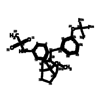 COC1(c2cccc(NS(C)(=O)=O)c2)C2CCC1CN(Cc1cccc(OC(F)(F)F)c1)C2